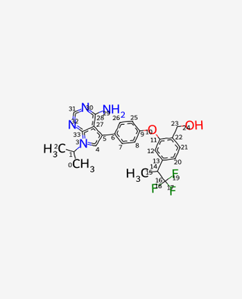 CC(C)n1cc(-c2ccc(Oc3cc(C(C)C(F)(F)F)ccc3CO)cc2)c2c(N)ncnc21